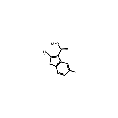 COC(=O)c1c(N)sc2ccc(C)cc12